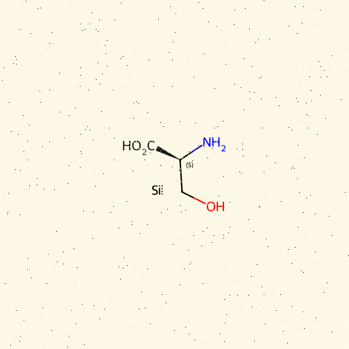 N[C@@H](CO)C(=O)O.[Si]